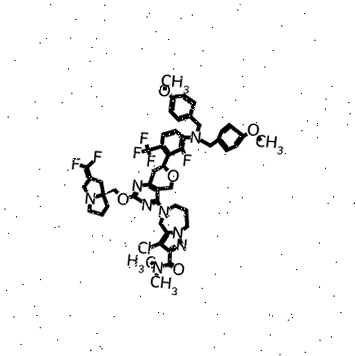 COc1ccc(CN(Cc2ccc(OC)cc2)c2ccc(C(F)(F)F)c(C3Cc4nc(OC[C@@]56CCCN5CC(=C(F)F)C6)nc(N5CCCn6nc(C(=O)N(C)C)c(Cl)c6C5)c4CO3)c2F)cc1